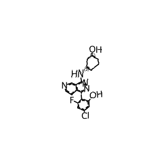 Oc1cc(Cl)cc(F)c1-c1nnc(N[C@H]2CCC[C@H](O)C2)c2cnccc12